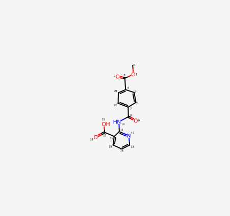 COC(=O)c1ccc(C(=O)Nc2ncccc2C(=O)O)cc1